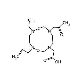 C=CCN1CCN(CC)CCN(CC(C)=O)CCN(CC(=O)O)CC1